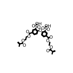 C=C(C)C(=O)OCCOC(=O)c1ccc(Oc2ccc(C(=O)OCCOC(=O)C(=C)C)cc2S(=O)(=O)O)c(S(=O)(=O)O)c1